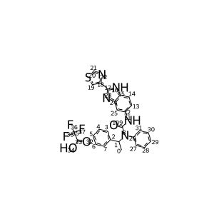 CC(c1ccccc1)N(C(=O)Nc1ccc2[nH]c(-c3cscn3)nc2c1)c1ccccc1.O=C(O)C(F)(F)F